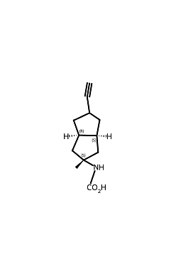 C#CC1C[C@@H]2C[C@@](C)(NC(=O)O)C[C@@H]2C1